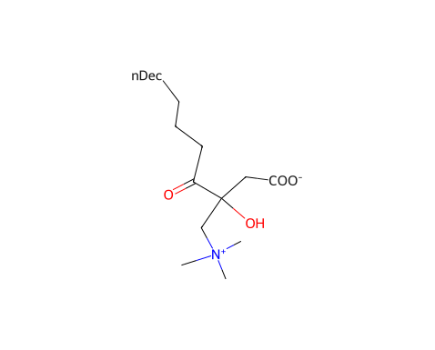 CCCCCCCCCCCCCC(=O)C(O)(CC(=O)[O-])C[N+](C)(C)C